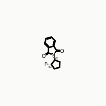 O=C1c2ccccc2C(=O)N1[C@H]1CCC[C@@H]1F